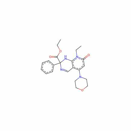 CCOC(=O)C1(c2ccccc2)N=Cc2c(N3CCOCC3)cc(=O)n(CC)c2N1